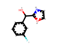 OC(c1cccc(F)c1)c1ncco1